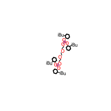 CCC(C)c1ccccc1OP(OCCOCCOCCOP(Oc1ccccc1C(C)CC)Oc1ccccc1C(C)CC)Oc1ccccc1C(C)CC